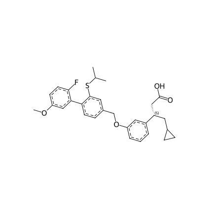 COc1ccc(F)c(-c2ccc(COc3cccc([C@H](CC(=O)O)CC4CC4)c3)cc2SC(C)C)c1